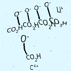 O=C([O-])O.O=C([O-])O.O=C([O-])O.O=C([O-])O.O=C([O-])O.[C+4].[Li+]